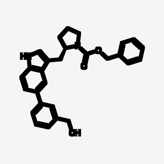 O=C(OCc1ccccc1)N1CCC[C@@H]1Cc1c[nH]c2ccc(-c3cccc(CO)c3)cc12